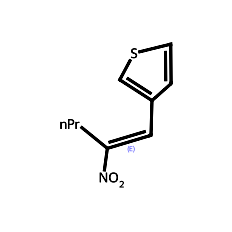 CCC/C(=C\c1ccsc1)[N+](=O)[O-]